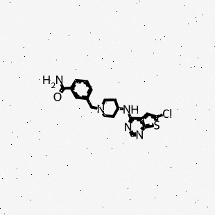 NC(=O)c1cccc(CN2CCC(Nc3ncnc4sc(Cl)cc34)CC2)c1